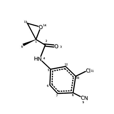 C[C@@]1(C(=O)Nc2ccc(C#N)c(Cl)c2)CO1